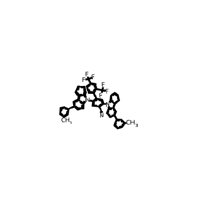 Cc1cccc(-c2ccc3c(c2)c2ccccc2n3-c2cc(-c3ccc(C(F)(F)F)cc3C(F)(F)F)c(-n3c4ccccc4c4cc(-c5cccc(C)c5)ccc43)cc2C#N)c1